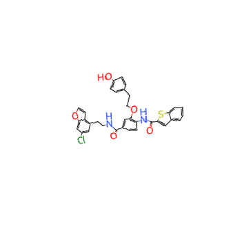 O=C(NCCc1cc(Cl)cc2occc12)c1ccc(NC(=O)c2cc3ccccc3s2)c(OCCc2ccc(O)cc2)c1